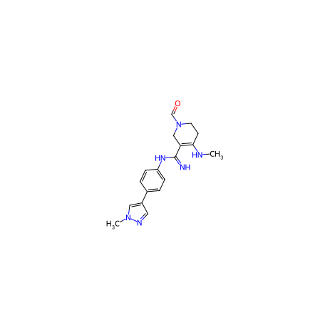 CNC1=C(C(=N)Nc2ccc(-c3cnn(C)c3)cc2)CN(C=O)CC1